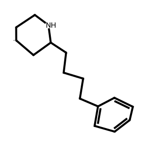 [CH]1CCNC(CCCCc2ccccc2)C1